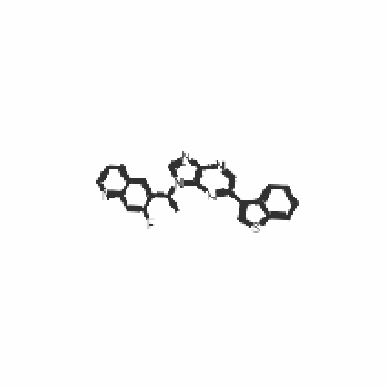 CC(c1cc2cccnc2cc1F)n1cnc2ncc(-c3csc4ccccc34)nc21